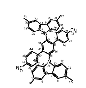 Cc1ccc2c(c1)c1cc(C)ccc1n2-c1cc(-c2ccc(C#N)cc2)c(-n2c3ccc(C)cc3c3cc(C)ccc32)cc1-c1ccc(C#N)cc1